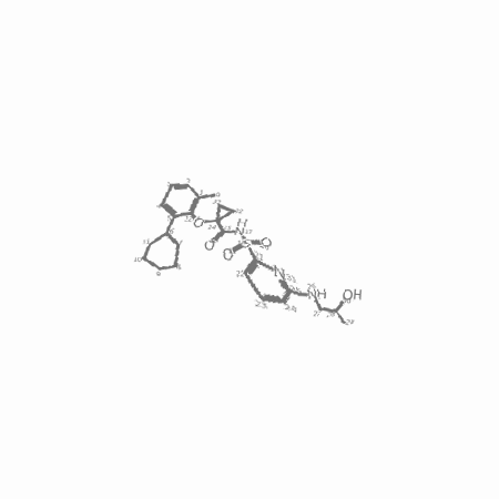 Cc1cccc(C2CCCCC2)c1OC1(C(=O)NS(=O)(=O)c2cccc(NC[C@H](C)O)n2)CC1